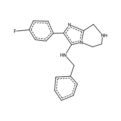 Fc1ccc(-c2nc3n(c2NCc2ccccc2)CCNC3)cc1